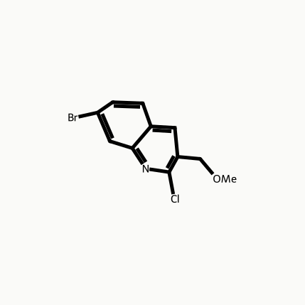 COCc1cc2ccc(Br)cc2nc1Cl